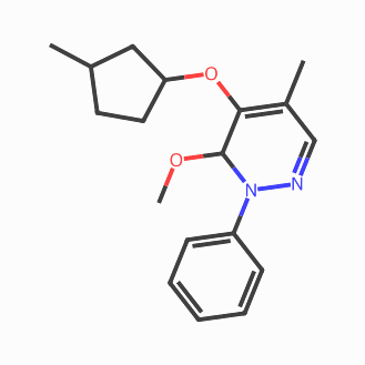 COC1C(OC2CCC(C)C2)=C(C)C=NN1c1ccccc1